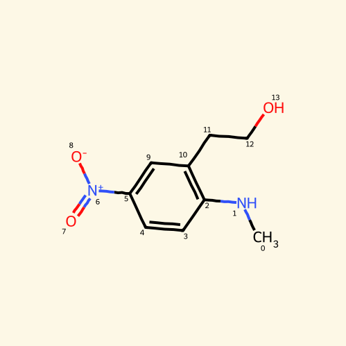 CNc1ccc([N+](=O)[O-])cc1CCO